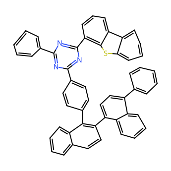 c1ccc(-c2nc(-c3ccc(-c4c(-c5ccc(-c6ccccc6)c6ccccc56)ccc5ccccc45)cc3)nc(-c3cccc4c3sc3ccccc34)n2)cc1